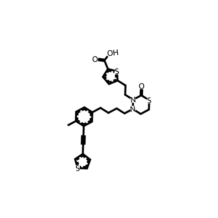 Cc1ccc(CCCCN2CCSC(=O)N2CCc2ccc(C(=O)O)s2)cc1C#Cc1ccsc1